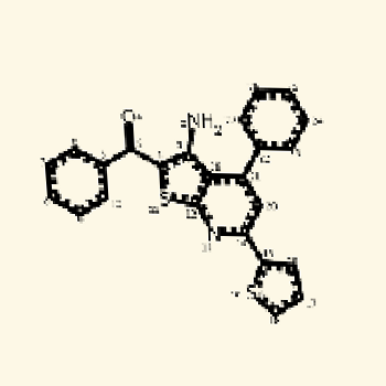 Nc1c(C(=O)c2ccccc2)sc2nc(-c3cccs3)cc(-c3ccccc3)c12